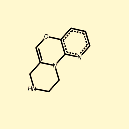 C1=C2CNCCN2c2ncccc2O1